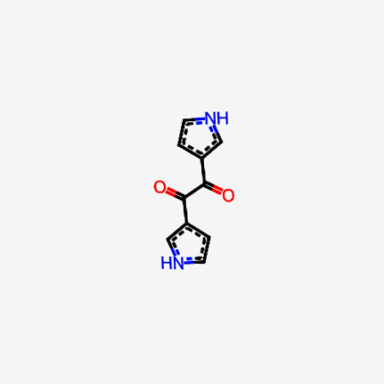 O=C(C(=O)c1cc[nH]c1)c1cc[nH]c1